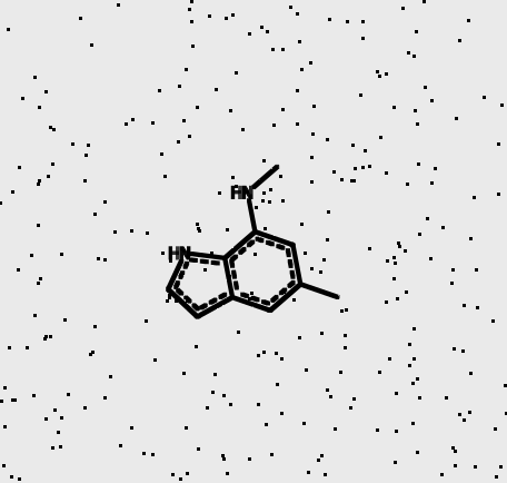 CNc1cc(C)cc2cc[nH]c12